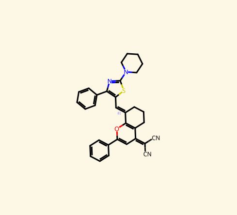 N#CC(C#N)=C1C=C(c2ccccc2)OC2=C1CCC/C2=C\c1sc(N2CCCCC2)nc1-c1ccccc1